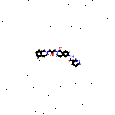 O=C(Nc1ccc2c(c1)CCN(CC(O)CN1CCc3ccccc3C1)C2=O)c1cccnc1